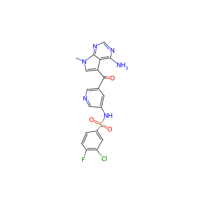 Cn1cc(C(=O)c2cncc(NS(=O)(=O)c3ccc(F)c(Cl)c3)c2)c2c(N)ncnc21